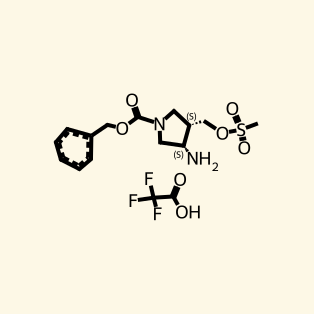 CS(=O)(=O)OC[C@H]1CN(C(=O)OCc2ccccc2)C[C@H]1N.O=C(O)C(F)(F)F